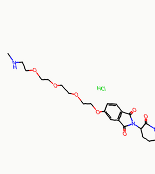 CNCCOCCOCCOCCOc1ccc2c(c1)C(=O)N(C1CCC(=O)NC1=O)C2=O.Cl